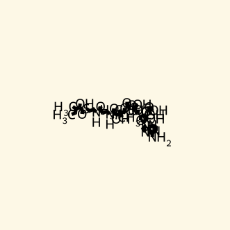 CCC(C)C(O)C(=O)SCCNC(=O)CCNC(=O)[C@H](O)C(C)(C)COP(=O)(O)OP(=O)(O)OC[C@H]1O[C@@H](n2cnc3c(N)ncnc32)[C@H](O)[C@@H]1OP(=O)(O)O